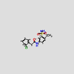 Cc1ccc(NC(=O)Cc2ccccc2Cl)cc1S(N)(=O)=O